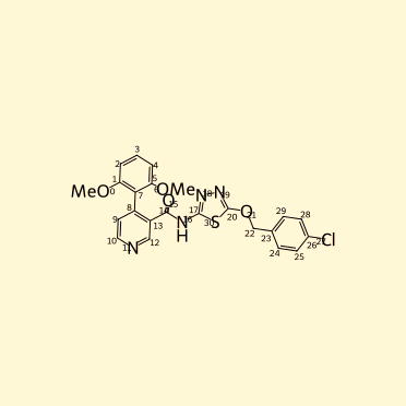 COc1cccc(OC)c1-c1ccncc1C(=O)Nc1nnc(OCc2ccc(Cl)cc2)s1